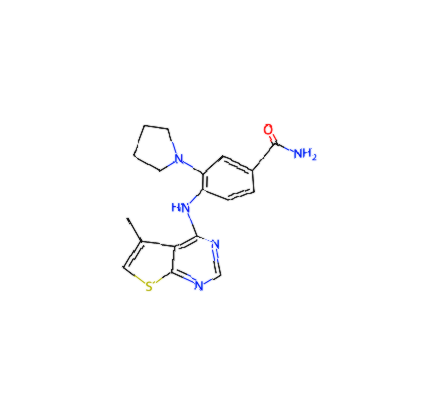 Cc1csc2ncnc(Nc3ccc(C(N)=O)cc3N3CCCC3)c12